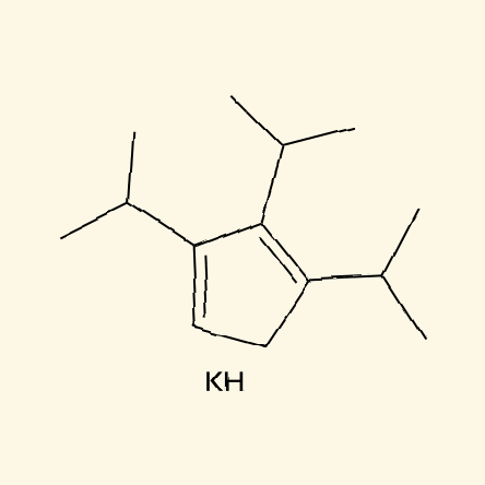 CC(C)C1=CCC(C(C)C)=C1C(C)C.[KH]